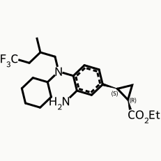 CCOC(=O)[C@@H]1C[C@@H]1c1ccc(N(CC(C)CC(F)(F)F)C2CCCCC2)c(N)c1